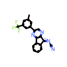 Cc1cc(-c2cnc3c(n2)-c2ccccc2/C3=N\C#N)cc(C(F)(F)F)c1